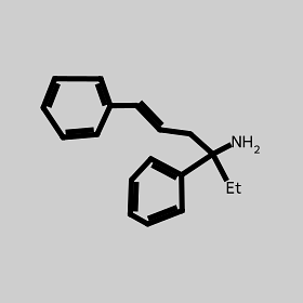 CCC(N)(C/C=C/c1ccccc1)c1ccccc1